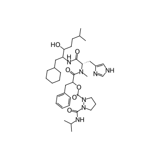 CC(C)CCC(O)C(CC1CCCCC1)NC(=O)[C@H](Cc1c[nH]cn1)N(C)C(=O)C(Cc1ccccc1)OC(=O)N1CCCN1C(=O)NC(C)C